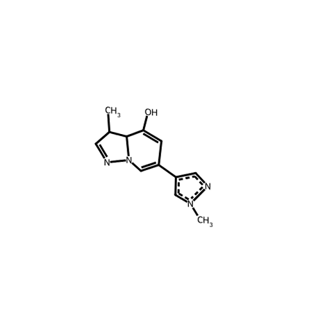 CC1C=NN2C=C(c3cnn(C)c3)C=C(O)C12